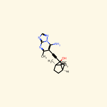 Cc1nc2ncnn2c(N)c1C#CC1(O)C[C@H]2CC[C@]1(C)C2(C)C